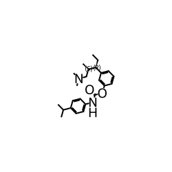 CC[C@@H](c1cccc(OC(=O)Nc2ccc(C(C)C)cc2)c1)[C@H](C)CN(C)C